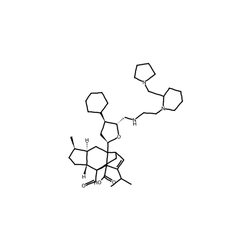 CC(C)C1=CC2CC3(C=O)[C@@H]4CC[C@@H](C)[C@H]4CC2([C@H]2C[C@@H](C4CCCCC4)[C@H](CNCCN4CCCCC4CN4CCCC4)O2)C13C(=O)O